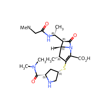 CNCC(=O)N[C@H](C)[C@H]1C(=O)N2C(C(=O)O)=C(S[C@@H]3CN[C@H](C(=O)N(C)C)C3)[C@H](C)[C@H]12